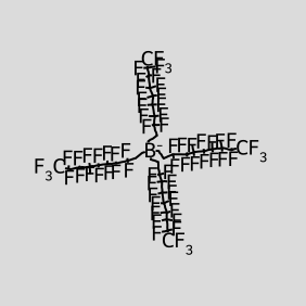 FC(F)(F)C(F)(F)C(F)(F)C(F)(F)C(F)(F)C(F)(F)C(F)(F)C(F)(F)CC[B-](CCC(F)(F)C(F)(F)C(F)(F)C(F)(F)C(F)(F)C(F)(F)C(F)(F)C(F)(F)F)(CCC(F)(F)C(F)(F)C(F)(F)C(F)(F)C(F)(F)C(F)(F)C(F)(F)C(F)(F)F)CCC(F)(F)C(F)(F)C(F)(F)C(F)(F)C(F)(F)C(F)(F)C(F)(F)C(F)(F)F